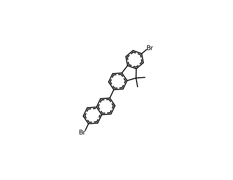 CC1(C)c2cc(Br)ccc2-c2ccc(-c3ccc4cc(Br)ccc4c3)cc21